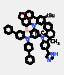 CC(C)(C)c1ccc(N2c3cc4c(cc3B3c5cc(-c6ccccc6)ccc5N(c5ccc(-c6ccccc6)cc5)c5cc(N6c7ccc(-c8cnc[nH]8)cc7C7(C)CCc8ccccc8C67C)cc2c53)CCC4)c(-c2ccccc2)c1